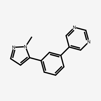 Cn1nccc1-c1cccc(-c2cncnc2)c1